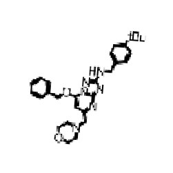 CC(C)(C)c1ccc(CNc2nc3nc(CN4CCOCC4)cc(OCc4ccccc4)n3n2)cc1